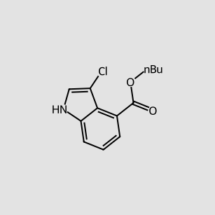 CCCCOC(=O)c1cccc2[nH]cc(Cl)c12